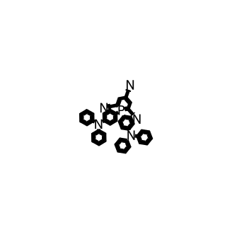 N#CC1=CC(C#N)=P(c2ccc(N(c3ccccc3)c3ccccc3)cc2)(c2ccc(N(c3ccccc3)c3ccccc3)cc2)C(C#N)=C1